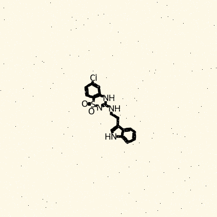 O=S1(=O)N=C(NCCc2c[nH]c3ccccc23)Nc2cc(Cl)ccc21